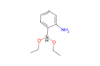 CCO[SiH](OCC)c1ccccc1N